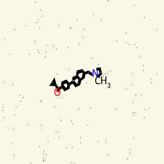 C[C@@H]1CCCN1CCc1ccc2cc(-c3ccc(C(=O)C4CC4)cc3)ccc2c1